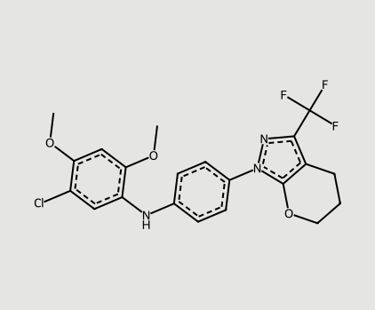 COc1cc(OC)c(Nc2ccc(-n3nc(C(F)(F)F)c4c3OCCC4)cc2)cc1Cl